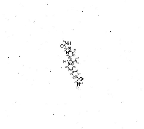 CNC(=O)c1cn2cc(-c3[nH]c4ccc(C5CCN(C(=O)CN(C)C)CC5)cc4c3C(C)C)cc(C)c2n1